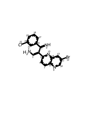 N=C(/C(=C\N)c1ccc2ncc(Br)cc2n1)c1cccc(Cl)c1